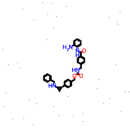 Nc1ccccc1NC(=O)c1ccc(CNC(=O)OCc2ccc(C3CC3NCc3ccccc3)cc2)cc1